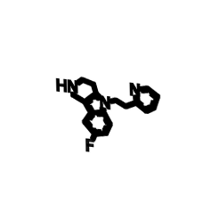 Fc1ccc2c(c1)c1c(n2CCc2ccccn2)CCNC1